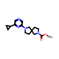 CC(C)(C)OC(=O)N1CCC2(CCN(c3cncc(C4CC4)n3)C2)C1